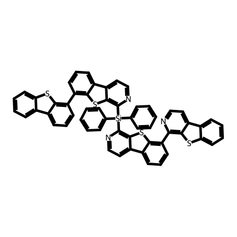 c1ccc([Si](c2ccccc2)(c2nccc3c2sc2c(-c4cccc5c4sc4ccccc45)cccc23)c2nccc3c2sc2c(-c4nccc5c4sc4ccccc45)cccc23)cc1